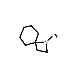 CC(C)N1CCC12CCCCC2